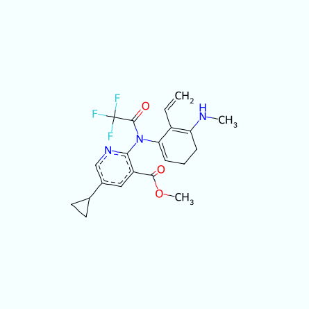 C=CC1=C(NC)CCC=C1N(C(=O)C(F)(F)F)c1ncc(C2CC2)cc1C(=O)OC